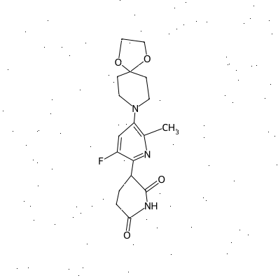 Cc1nc(C2CCC(=O)NC2=O)c(F)cc1N1CCC2(CC1)OCCO2